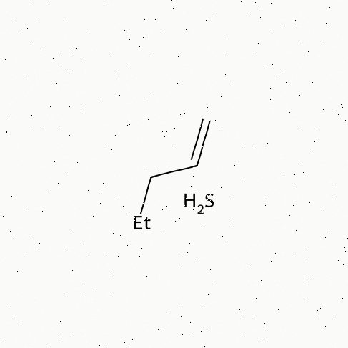 C=CCCC.S